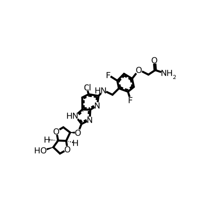 NC(=O)COc1cc(F)c(CNc2nc3nc(O[C@@H]4CO[C@H]5[C@@H]4OC[C@H]5O)[nH]c3cc2Cl)c(F)c1